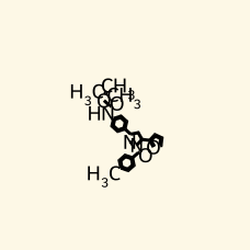 Cc1ccc(C(=O)N2N=C(c3ccc(NC(=O)OC(C)(C)C)cc3)CC2c2ccco2)cc1